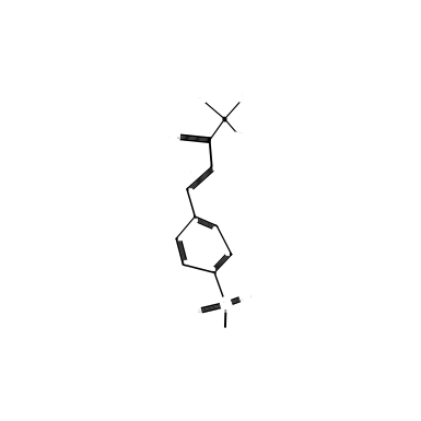 CS(=O)(=O)c1ccc(/C=C/C(=O)C(F)(F)F)cc1